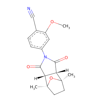 COc1cc(N2C(=O)[C@@H]3[C@H](C2=O)[C@@]2(C)CC[C@]3(C)O2)ccc1C#N